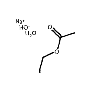 CCOC(C)=O.O.[Na+].[OH-]